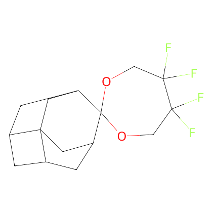 FC1(F)COC2(OCC1(F)F)C1CC3CC4CC2CC34C1